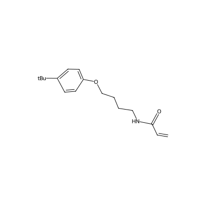 C=CC(=O)NCCCCOc1ccc(C(C)(C)C)cc1